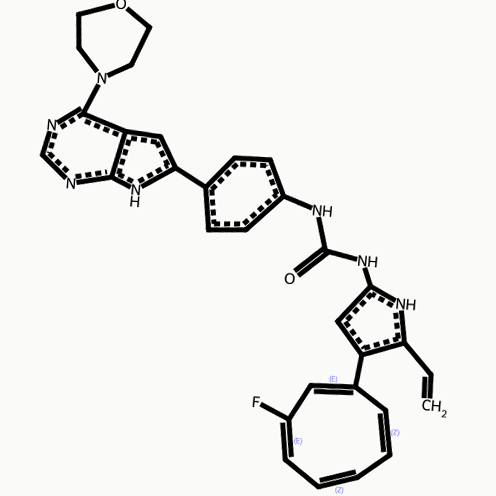 C=Cc1[nH]c(NC(=O)Nc2ccc(-c3cc4c(N5CCOCC5)ncnc4[nH]3)cc2)cc1C1=C/C(F)=C\C=C/C=C\1